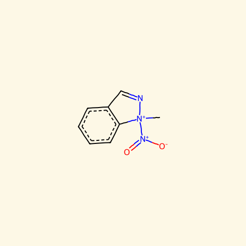 C[N+]1([N+](=O)[O-])N=Cc2ccccc21